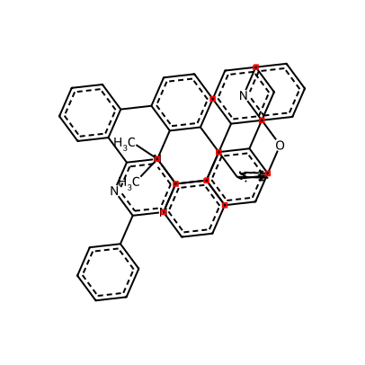 CC1(C)c2ccccc2C2(c3ccccc3Oc3ccccc32)c2cccc(-c3ccccc3-c3nc(-c4ccccc4)nc(-c4cccc(-c5ccccn5)c4)n3)c21